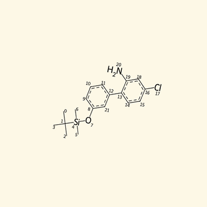 CC(C)(C)[Si](C)(C)Oc1cccc(-c2ccc(Cl)cc2N)c1